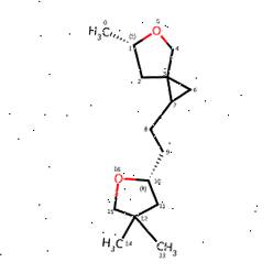 C[C@H]1CC2(CO1)CC2CC[C@@H]1CC(C)(C)CO1